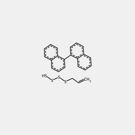 C=CCSSSS.c1ccc2c(-c3cccc4ccccc34)cccc2c1